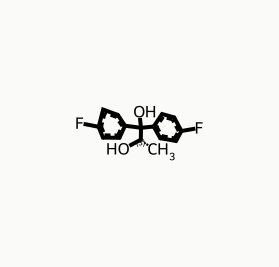 C[C@H](O)C(O)(c1ccc(F)cc1)c1ccc(F)cc1